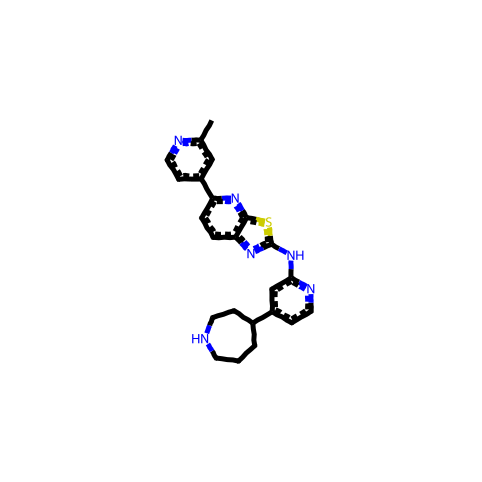 Cc1cc(-c2ccc3nc(Nc4cc(C5CCCNCC5)ccn4)sc3n2)ccn1